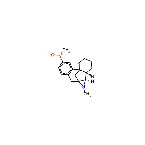 CN1[C@@H]2[C@H]3CCCC[C@]34CC21Cc1ccc([S+](C)[O-])cc14